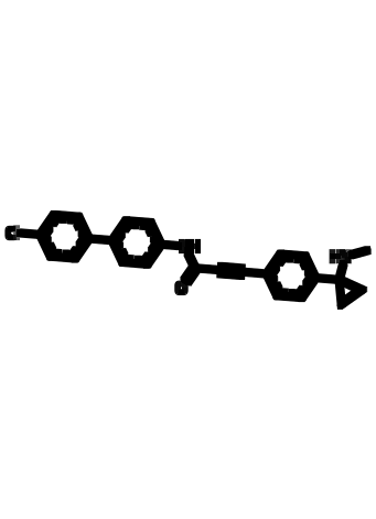 CNC1(c2ccc(C#CC(=O)Nc3ccc(-c4ccc(Cl)cc4)cc3)cc2)CC1